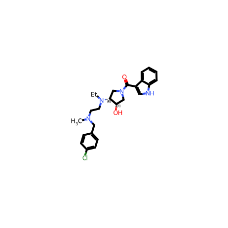 CCN(CCN(C)Cc1ccc(Cl)cc1)[C@@H]1CN(C(=O)c2c[nH]c3ccccc23)C[C@H]1O